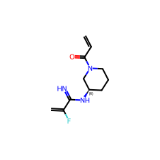 C=CC(=O)N1CCC[C@@H](NC(=N)C(=C)F)C1